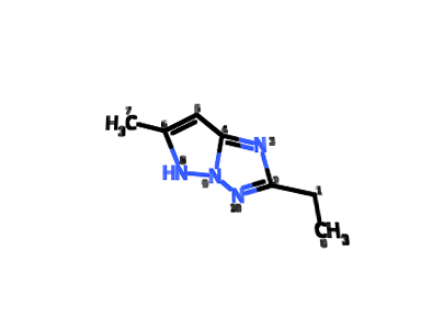 CCc1nc2cc(C)[nH]n2n1